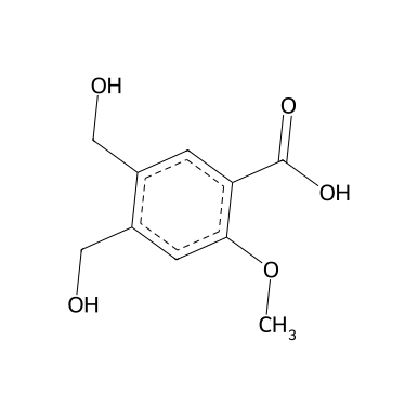 COc1cc(CO)c(CO)cc1C(=O)O